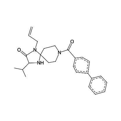 C=CCN1C(=O)C(C(C)C)NC12CCN(C(=O)c1ccc(-c3ccccc3)cc1)CC2